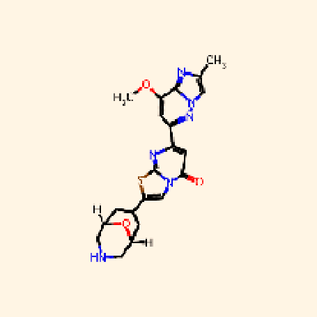 COc1cc(-c2cc(=O)n3cc(C4C[C@H]5CNC[C@@H](C4)O5)sc3n2)nn2cc(C)nc12